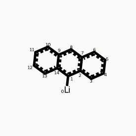 [Li][c]1c2ccccc2cc2ccccc12